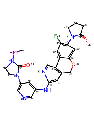 CPN1CCN(c2cncc(Nc3cc4c(cn3)-c3cc(F)c(N5CCCC5=O)cc3OC4)c2)C1=O